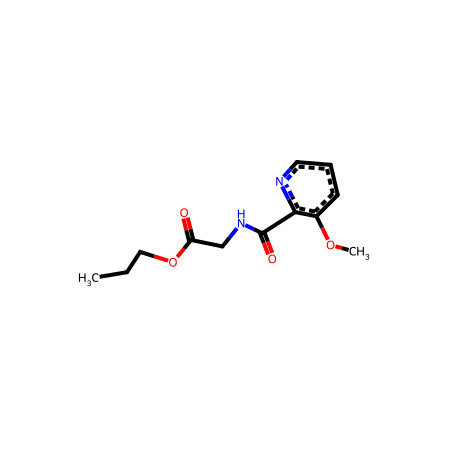 CCCOC(=O)CNC(=O)c1ncccc1OC